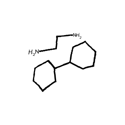 C1CCC(C2CCCCC2)CC1.NCCN